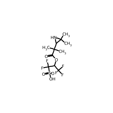 CC1(C)NC1C(C)(C)C(=O)OC(C(F)(F)F)C(F)(F)S(=O)(=O)O